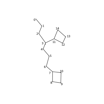 CCC[C](CCCC1CCC1)C1CCC1